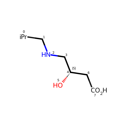 CC(C)CNC[C@@H](O)CC(=O)O